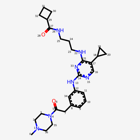 CN1CCN(C(=O)Cc2cccc(Nc3ncc(C4CC4)c(NCCCNC(=O)C4CCC4)n3)c2)CC1